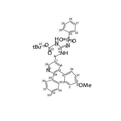 COc1ccc(-c2cc(CN/C(=N/S(=O)(=O)c3ccccc3)NC(=O)OC(C)(C)C)cnc2-c2ccc(C)cc2)cc1